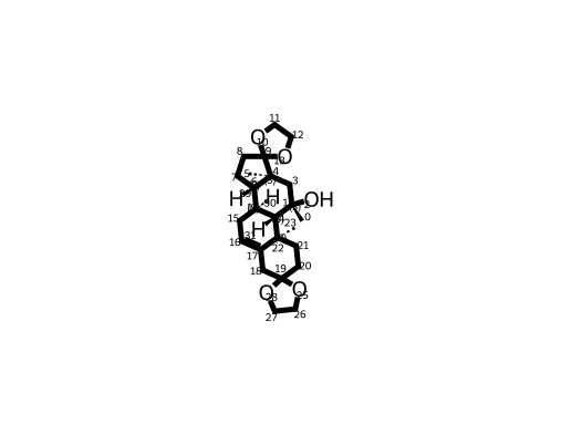 C[C@]1(O)C[C@@]2(C)[C@@H](CCC23OCCO3)[C@@H]2CC=C3CC4(CC[C@]3(C)[C@H]21)OCCO4